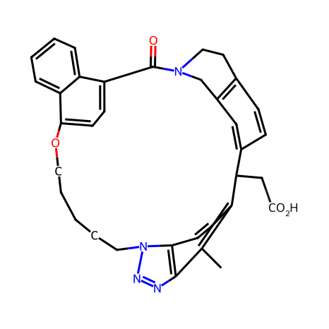 Cc1c2ccc3c1nnn3CCCCCOc1ccc(c3ccccc13)C(=O)N1CCc3ccc(cc3C1)C2CC(=O)O